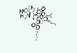 CCCCCOC(=O)Oc1ccc(C(C(C)C(C)OC(=O)OCCC(C)C)[C@H](N)C(=O)O)cc1OC(=O)OCCCCC